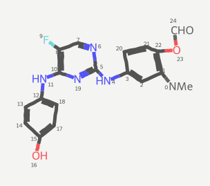 CNc1cc(Nc2ncc(F)c(Nc3ccc(O)cc3)n2)ccc1OC=O